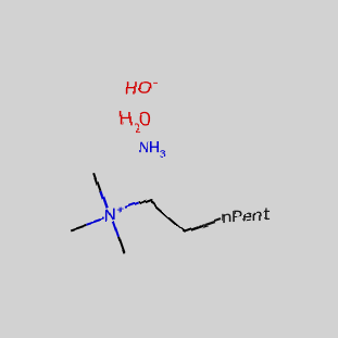 CCCCCCC[N+](C)(C)C.N.O.[OH-]